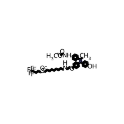 CC/C(=C(\c1ccc(O)cc1)c1ccc(OCCNCCCCCCCCC[S+]([O-])CCCC(F)(F)C(F)(F)F)cc1)c1ccccc1.CCOC(N)=O